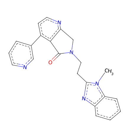 Cn1c(CCN2Cc3nccc(-c4cccnc4)c3C2=O)nc2ccccc21